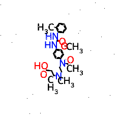 COc1cc(N(CCN(C)C(C)CC(=O)O)C(C)=O)ccc1NC(=O)Nc1ccccc1C